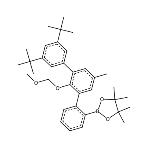 COCOc1c(-c2cc(C(C)(C)C)cc(C(C)(C)C)c2)cc(C)cc1-c1ccccc1B1OC(C)(C)C(C)(C)O1